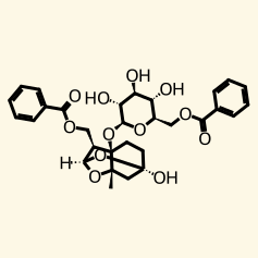 C[C@]12C[C@]3(O)CC[C@@]1(O[C@@H]1O[C@H](COC(=O)c4ccccc4)[C@@H](O)[C@H](O)[C@H]1O)[C@H](COC(=O)c1ccccc1)[C@@H](O3)O2